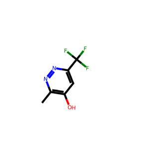 Cc1nnc(C(F)(F)F)cc1O